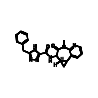 CN1C(=O)C(NC(=O)c2nnc(Cc3ccccc3)[nH]2)[C@H]2CC2c2cccnc21